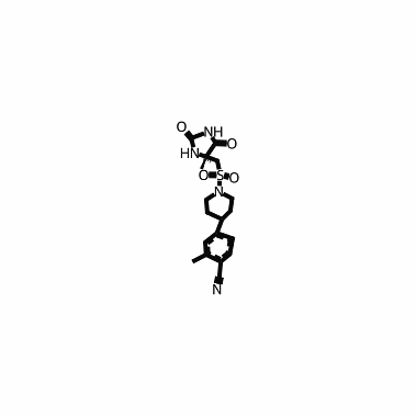 Cc1cc(C2CCN(S(=O)(=O)C[C@]3(C)NC(=O)NC3=O)CC2)ccc1C#N